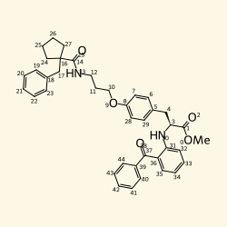 COC(=O)[C@H](Cc1ccc(OCCCNC(=O)C2(Cc3ccccc3)CCCC2)cc1)Nc1ccccc1C(=O)c1ccccc1